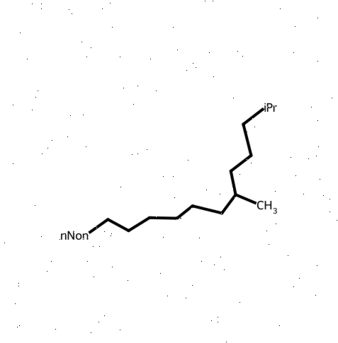 CCCCCCCCCCCC[CH]CCC(C)CCCC(C)C